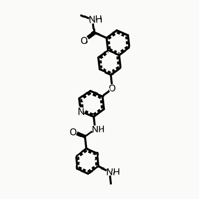 CNC(=O)c1cccc2cc(Oc3ccnc(NC(=O)c4cccc(NC)c4)c3)ccc12